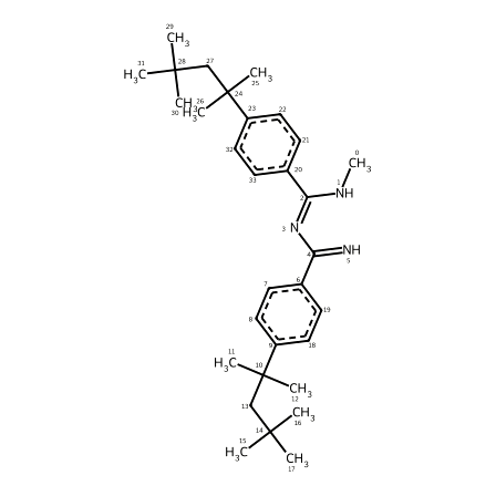 CN/C(=N\C(=N)c1ccc(C(C)(C)CC(C)(C)C)cc1)c1ccc(C(C)(C)CC(C)(C)C)cc1